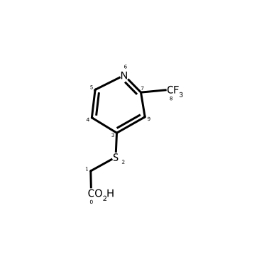 O=C(O)CSc1ccnc(C(F)(F)F)c1